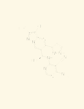 Cc1nn2cc([C@H](C)Nc3ncnc(N)c3C#N)c(-c3cc[nH]n3)nc2c1Cl